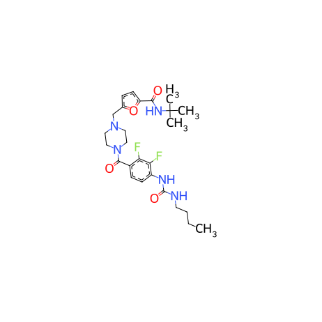 CCCCNC(=O)Nc1ccc(C(=O)N2CCN(Cc3ccc(C(=O)NC(C)(C)C)o3)CC2)c(F)c1F